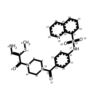 CS/C(=C\N)C(=O)N1CCN(C(=O)c2ccc(NS(=O)(=O)c3cccc4cccnc34)cc2)CC1